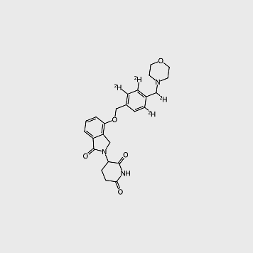 [2H]c1cc(COc2cccc3c2CN(C2CCC(=O)NC2=O)C3=O)c([2H])c([2H])c1C([2H])N1CCOCC1